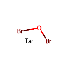 BrOBr.[Ta]